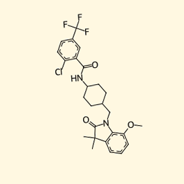 COc1cccc2c1N(CC1CCC(NC(=O)c3cc(C(F)(F)F)ccc3Cl)CC1)C(=O)C2(C)C